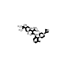 CC(C)(C#N)C1CNC(C(C(=O)Nc2cncc(F)c2N2CCN(C3COC3)CC2)C(N)N)NC1